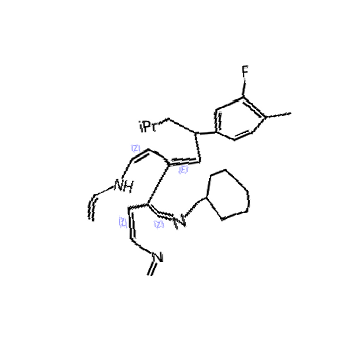 C=CN\C=C/C(=C\C(CC(C)C)c1ccc(C)c(F)c1)C(/C=C\N=C)=N\C1CCCCC1